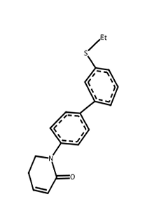 CCSc1cccc(-c2ccc(N3CCC=CC3=O)cc2)c1